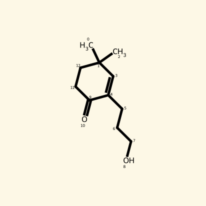 CC1(C)C=C(CCCO)C(=O)CC1